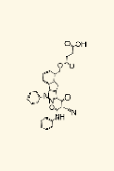 N#CC(C(=O)Nc1ccccc1)C(=O)c1nn(-c2ccccc2)c2c1Cc1c(COC(=O)CCC(=O)O)cccc1-2